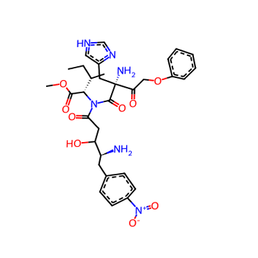 CCC(C)[C@@H](C(=O)OC)N(C(=O)CC(O)[C@@H](N)Cc1ccc([N+](=O)[O-])cc1)C(=O)[C@@](N)(Cc1c[nH]cn1)C(=O)COc1ccccc1